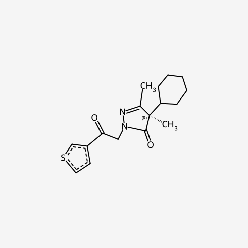 CC1=NN(CC(=O)c2ccsc2)C(=O)[C@]1(C)C1CCCCC1